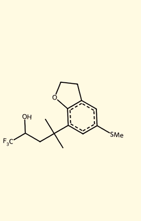 CSc1cc2c(c(C(C)(C)CC(O)C(F)(F)F)c1)OCC2